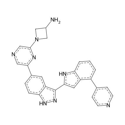 NC1CN(c2cncc(-c3ccc4[nH]nc(-c5cc6c(-c7ccncc7)cccc6[nH]5)c4c3)n2)C1